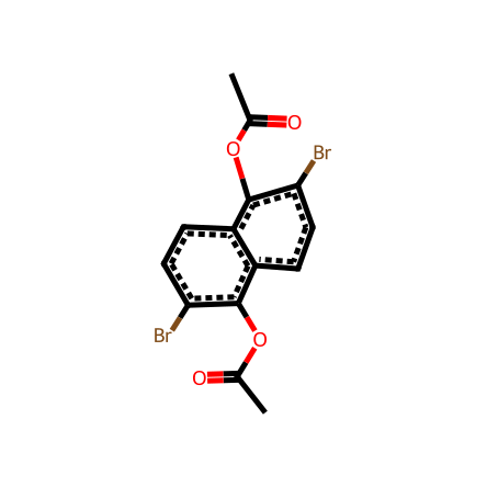 CC(=O)Oc1c(Br)ccc2c(OC(C)=O)c(Br)ccc12